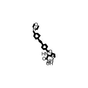 O=C(N[C@H](C(=O)NO)c1cccs1)c1ccc(C#Cc2ccc(CN3CCOCC3)cc2)cc1